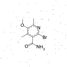 COc1c(C)nc(Br)c(C(N)=O)c1C